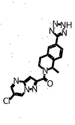 CC1c2ccc(-c3nn[nH]n3)cc2CCN1C(=O)c1cc2ncc(Cl)cn2n1